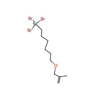 C=C(C)COCCCCCC[Si](Br)(Br)Br